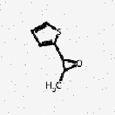 CC1OC1c1cccs1